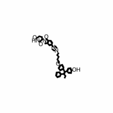 CC/C(=C(\c1ccc(O)cc1)c1ccc(OCCCCCN2CCN(c3ccc4c(c3)CN(C3CCC(=O)NC3=O)C4=O)CC2)cc1)c1ccccc1